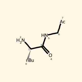 CCCC[C@H](N)C(=O)NCC(C)=O